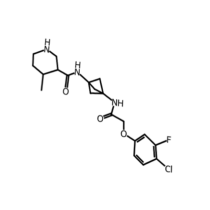 CC1CCNCC1C(=O)NC12CC(NC(=O)COc3ccc(Cl)c(F)c3)(C1)C2